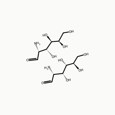 N[C@@H](C=O)[C@@H](O)[C@@H](O)[C@H](O)CO.N[C@@H](C=O)[C@@H](O)[C@H](O)[C@H](O)CO